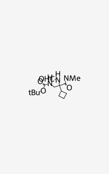 CNC(=O)C(CNC(=O)OC(C)(C)C)(NC=O)C1CCC1